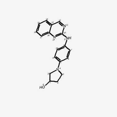 OC1CCN(c2ccc(Nc3ncc4ccccc4n3)cc2)C1